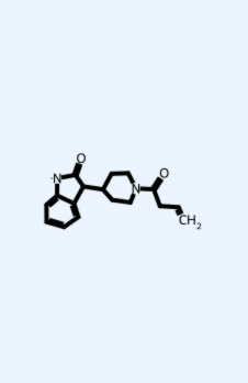 C=CCC(=O)N1CCC(C2C(=O)[N]c3ccccc32)CC1